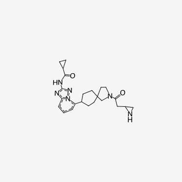 O=C(Nc1nc2cccc(C3CCC4(CC3)CCN(C(=O)CC3CN3)C4)n2n1)C1CC1